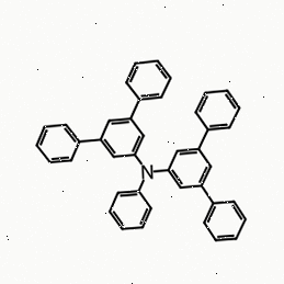 c1ccc(-c2cc(-c3ccccc3)cc(N(c3ccccc3)c3cc(-c4ccccc4)cc(-c4ccccc4)c3)c2)cc1